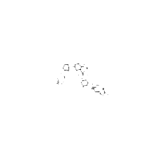 Cc1cc(Nc2ncnc3ccc(-c4cccc(N5CCS(=O)(=O)CC5)c4)cc23)ccc1Oc1cc2nncn2cn1